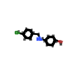 Clc1ccc(CNc2ccc(Br)cc2)cc1